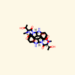 CC(O)C12SS[C@@]3(C(=O)N1C)[C@@H](O)[C@]1(C45c6ccccc6N[C@@H]4N4C(=O)[C@]6(C(C)O)SS[C@]4(C(=O)N6C)[C@H]5O)c4ccccc4N[C@@H]1N3C2=O